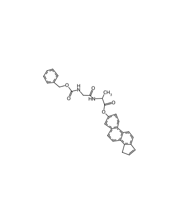 CC(NC(=O)CNC(=O)OCc1ccccc1)C(=O)Oc1ccc2c(ccc3c4c(ccc32)C=CC4)c1